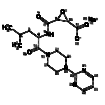 CC(C)CC(NC(=O)C1OC1C(=O)[O-])C(=O)N1CCN(c2ncccn2)CC1.[Na+]